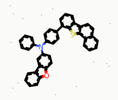 c1ccc(N(c2ccc(-c3cccc4c3sc3c5ccccc5ccc43)cc2)c2ccc3oc4ccccc4c3c2)cc1